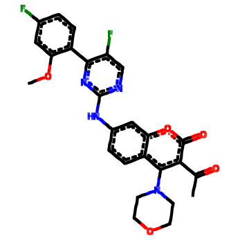 COc1cc(F)ccc1-c1nc(Nc2ccc3c(N4CCOCC4)c(C(C)=O)c(=O)oc3c2)ncc1F